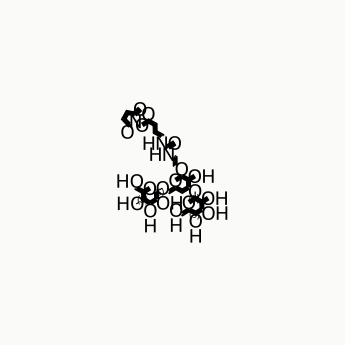 O=C(NCCCC(=O)ON1C(=O)CCC1=O)NCCOC1OC(CO[C@H]2OC(CO)[C@@H](O)C(O)C2O)CC(O[C@H]2OC(CO)[C@@H](O)C(O)C2O)C1O